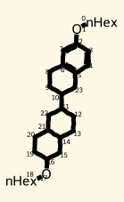 CCCCCCOc1ccc2c(c1)CCC(C1CCC3CC(OCCCCCC)CCC3C1)C2